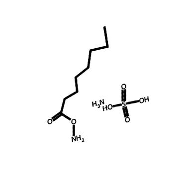 CCCCCCCC(=O)ON.N.O=S(=O)(O)O